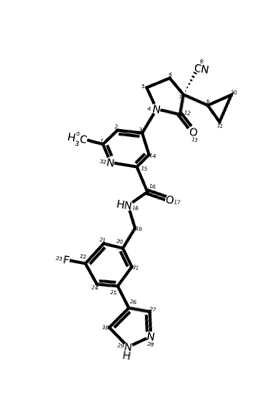 Cc1cc(N2CC[C@@](C#N)(C3CC3)C2=O)cc(C(=O)NCc2cc(F)cc(-c3cn[nH]c3)c2)n1